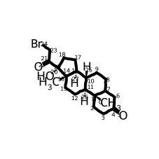 C[C@]12CCC(=O)CC1CC[C@@H]1[C@@H]2CC[C@@]2(C)[C@H]1CC[C@]2(O)C(=O)CBr